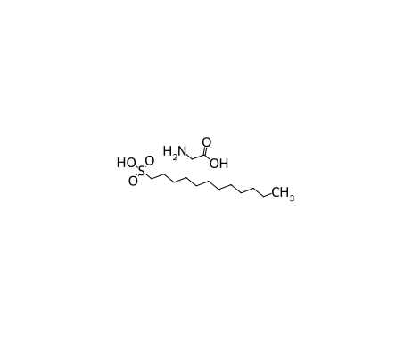 CCCCCCCCCCCCS(=O)(=O)O.NCC(=O)O